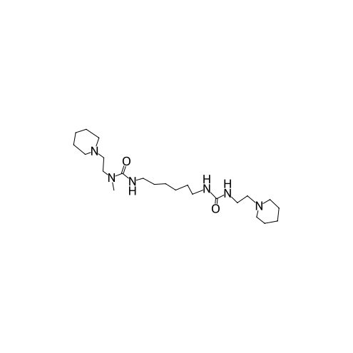 CN(CCN1CCCCC1)C(=O)NCCCCCCNC(=O)NCCN1CCCCC1